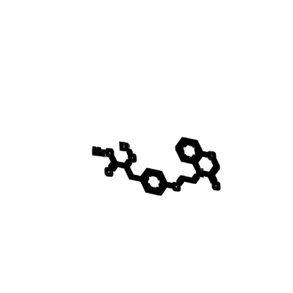 CCOC(Cc1ccc(OCCN2C(=O)COc3ccccc32)cc1)C(=O)OC